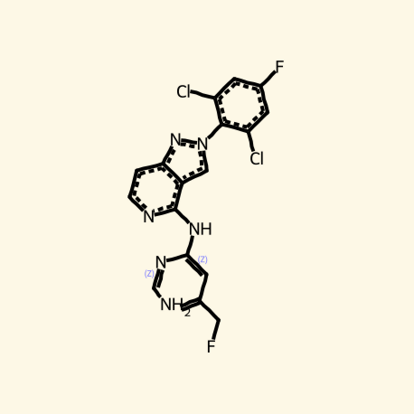 C=C(/C=C(\N=C/N)Nc1nccc2nn(-c3c(Cl)cc(F)cc3Cl)cc12)CF